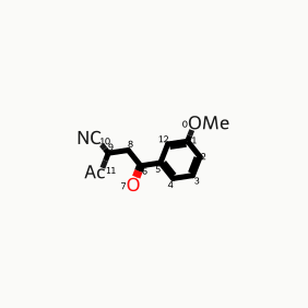 COc1cccc(C(=O)CC(C#N)C(C)=O)c1